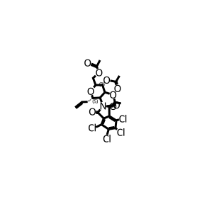 C=CC[C@@H]1OC(COC(C)=O)[C@H](OC(C)=O)C(OC(C)=O)C1N1C(=O)c2c(Cl)c(Cl)c(Cl)c(Cl)c2C1=O